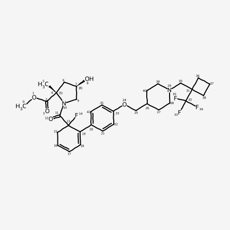 COC(=O)[C@]1(C)C[C@@H](O)CN1C(=O)C1(F)CC=CC=C1c1ccc(OCC2CCN(CC3(C(F)(F)F)CCC3)CC2)cc1